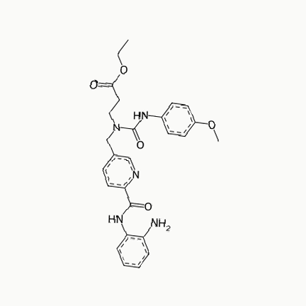 CCOC(=O)CCN(Cc1ccc(C(=O)Nc2ccccc2N)nc1)C(=O)Nc1ccc(OC)cc1